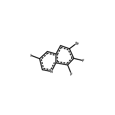 Fc1c(Br)cc2cc(I)cnc2c1F